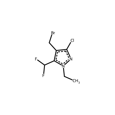 CCn1nc(Cl)c(CBr)c1C(F)F